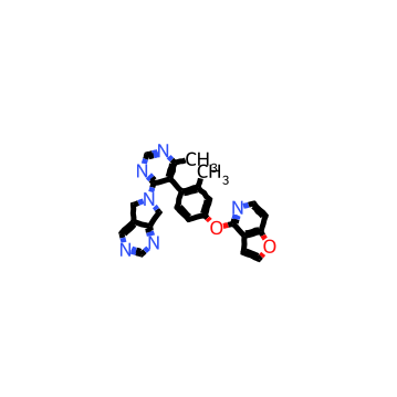 Cc1cc(Oc2nccc3occc23)ccc1-c1c(C)ncnc1N1Cc2cncnc2C1